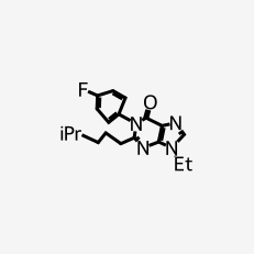 CCn1cnc2c(=O)n(-c3ccc(F)cc3)c(CCCC(C)C)nc21